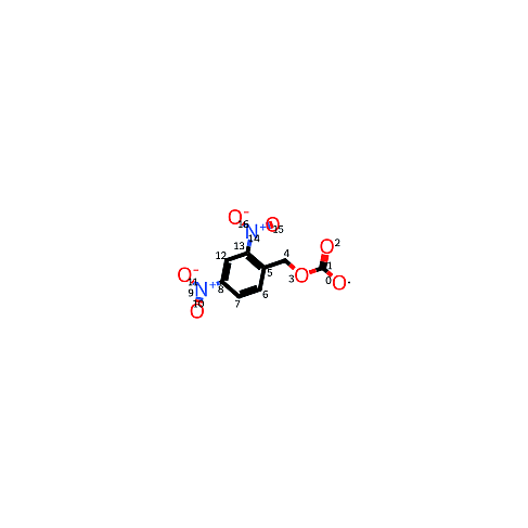 [O]C(=O)OCc1ccc([N+](=O)[O-])cc1[N+](=O)[O-]